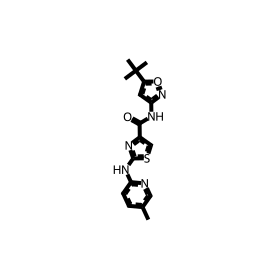 Cc1ccc(Nc2nc(C(=O)Nc3cc(C(C)(C)C)on3)cs2)nc1